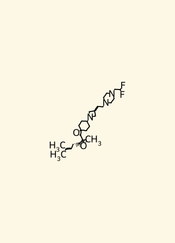 CC(C)=CC[C@H]1O[C@@]1(C)C1OC12CCC(N1CC(=CCN3CCN(CC(F)F)CC3)C1)CC2